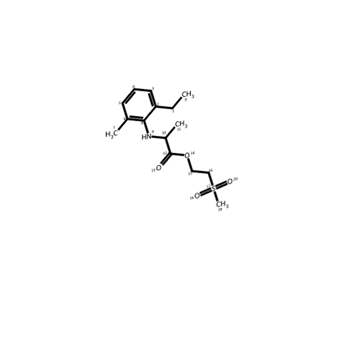 CCc1cccc(C)c1NC(C)C(=O)OCCS(C)(=O)=O